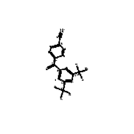 C=C(c1ccc(C#N)cc1)c1cc(C(C)(C)C)cc(C(C)(C)C)c1